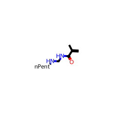 C=C(C)C(=O)NCNCCCCC